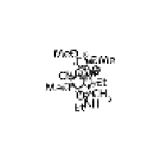 CCNC(=O)C(C)c1c(CC)n(C(=O)c2c(OC)cc(OC)cc2OC)c2cc(Cl)c(OC)cc12